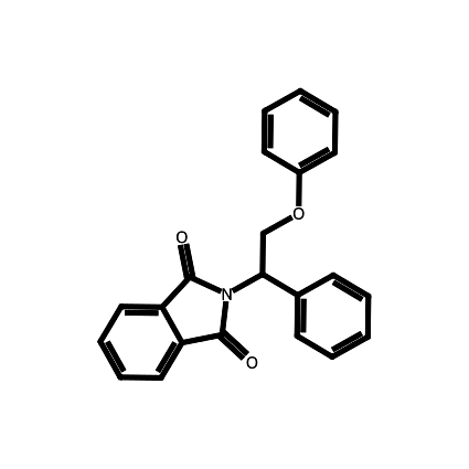 O=C1c2ccccc2C(=O)N1C(COc1ccccc1)c1ccccc1